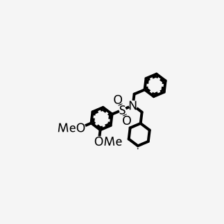 COc1ccc(S(=O)(=O)N(Cc2ccccc2)CC2CC[CH]CC2)cc1OC